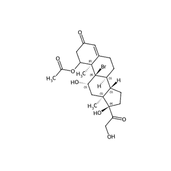 CC(=O)OC1CC(=O)C=C2CC[C@H]3[C@@H]4CC[C@](O)(C(=O)CO)[C@@]4(C)C[C@H](O)[C@]3(Br)[C@]21C